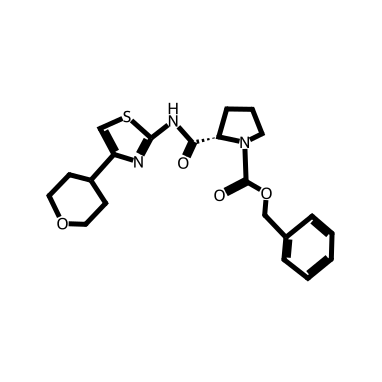 O=C(Nc1nc(C2CCOCC2)cs1)[C@@H]1CCCN1C(=O)OCc1ccccc1